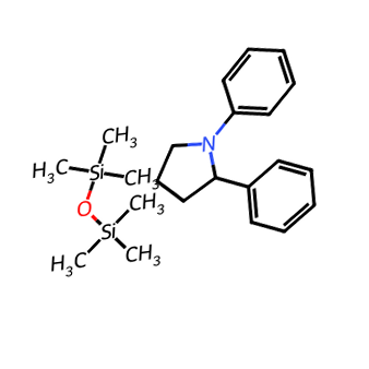 C[Si](C)(C)O[Si](C)(C)C.c1ccc(C2CCCN2c2ccccc2)cc1